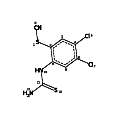 N#CSc1cc(Cl)c(Cl)cc1NC(N)=S